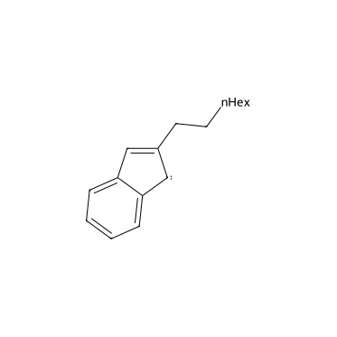 CCCCCCCCC1=Cc2ccccc2[C]1